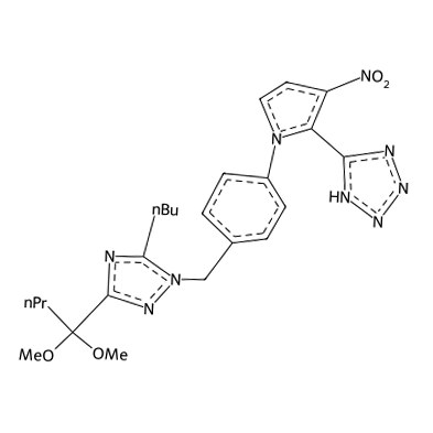 CCCCc1nc(C(CCC)(OC)OC)nn1Cc1ccc(-n2ccc([N+](=O)[O-])c2-c2nnn[nH]2)cc1